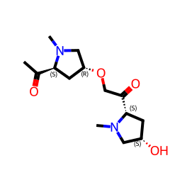 CC(=O)[C@@H]1C[C@@H](OCC(=O)[C@@H]2C[C@H](O)CN2C)CN1C